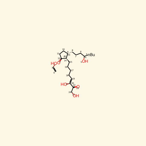 C=CO.CCCCC(O)CCC[C@H]1CCC(=O)[C@@H]1CCCCC=C(O)C(=O)CO